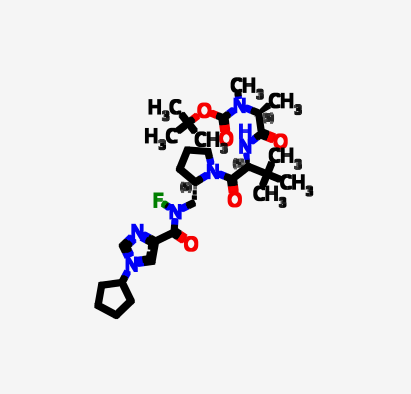 C[C@@H](C(=O)N[C@H](C(=O)N1CCC[C@H]1CN(F)C(=O)c1cn(C2CCCC2)cn1)C(C)(C)C)N(C)C(=O)OC(C)(C)C